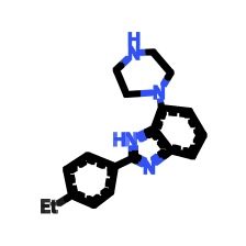 CCc1ccc(-c2nc3cccc(N4CCNCC4)c3[nH]2)cc1